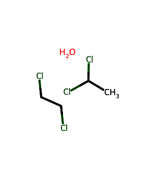 CC(Cl)Cl.ClCCCl.O